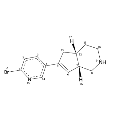 Brc1ccc(C2=C[C@H]3CNCC[C@H]3C2)cn1